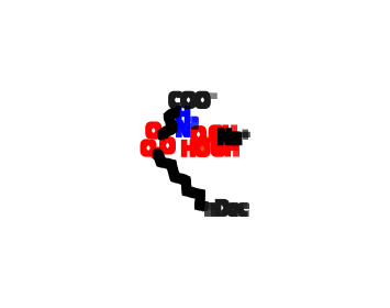 CCCCCCCCCCCCCCCCCC(=O)OC(=O)C(N)CCC(=O)[O-].O=P(O)(O)O.[Na+]